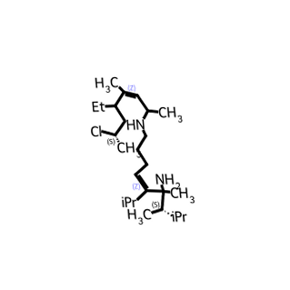 CCC(C[C@H](C)Cl)/C(C)=C\C(C)NCCC/C=C(/C(C)C)C(C)(N)[C@@H](C)C(C)C